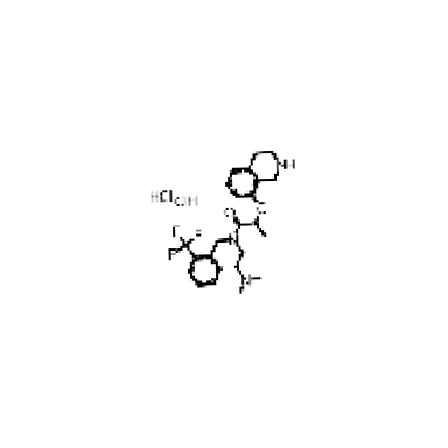 CC(Oc1cccc2c1CNCC2)C(=O)N(CCN(C)C)Cc1ccccc1C(F)(F)F.Cl.Cl